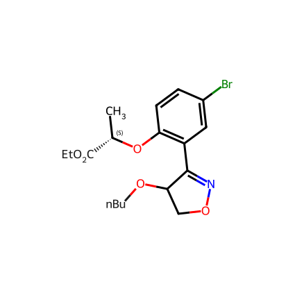 CCCCOC1CON=C1c1cc(Br)ccc1O[C@@H](C)C(=O)OCC